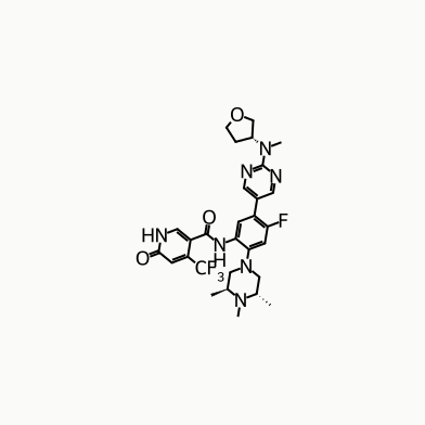 C[C@H]1CN(c2cc(F)c(-c3cnc(N(C)[C@@H]4CCOC4)nc3)cc2NC(=O)c2c[nH]c(=O)cc2C(F)(F)F)C[C@H](C)N1C